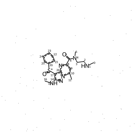 CNCCN(C)C(=O)c1cc(C)n2nc(NC)c([S+]([O-])c3ccccc3)c2n1